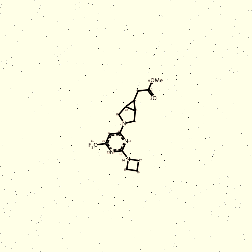 COC(=O)CC1C2CN(c3cc(C(F)(F)F)nc(N4CCC4)n3)CC12